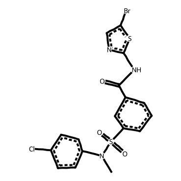 CN(c1ccc(Cl)cc1)S(=O)(=O)c1cccc(C(=O)Nc2ncc(Br)s2)c1